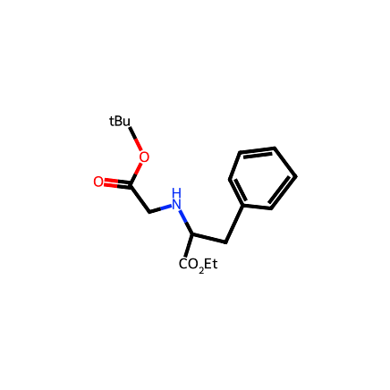 CCOC(=O)C(Cc1ccccc1)NCC(=O)OC(C)(C)C